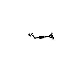 CCC#CC1N=N1